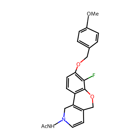 COc1ccc(COc2ccc3c(c2F)OCC2=C3CN(NC(C)=O)C=C2)cc1